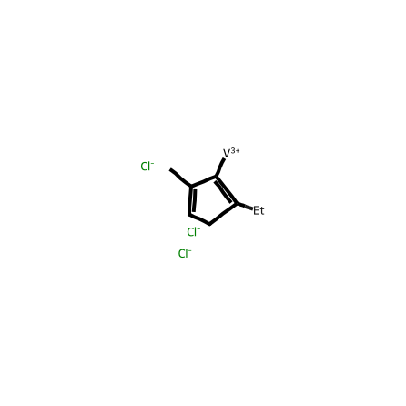 CCC1=[C]([V+3])C(C)=CC1.[Cl-].[Cl-].[Cl-]